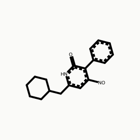 O=Nc1cc(CC2CCCCC2)[nH]c(=O)c1-c1ccccc1